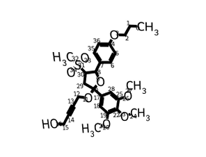 CCCOc1ccc(C2OC(OCC#CCO)(c3cc(OC)c(OC)c(OC)c3)CC2S(C)(=O)=O)cc1